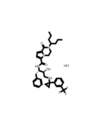 CCCC(CCC)N1CCn2c(C(=O)N[C@@H](Cc3ccccc3)[C@@H](O)CNC3(c4cccc(C(F)(F)F)c4)CC3)ccc2C1=O.Cl